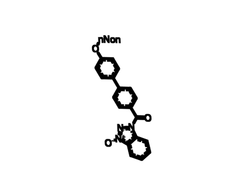 CCCCCCCCCOc1ccc(-c2ccc(C(=O)n3n[n+]([O-])c4ccccc43)cc2)cc1